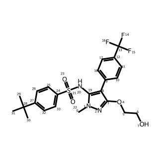 Cn1nc(OCCO)c(-c2ccc(C(F)(F)F)cc2)c1NS(=O)(=O)c1ccc(C(C)(C)C)cc1